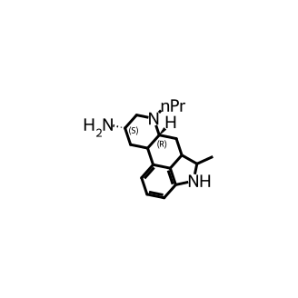 CCCN1C[C@@H](N)CC2c3cccc4c3C(C[C@H]21)C(C)N4